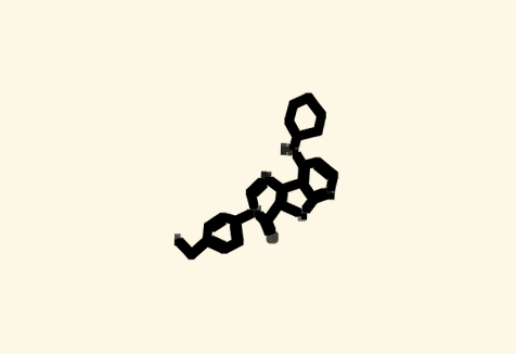 O=c1c2sc3nccc(NC4CCCCC4)c3c2ncn1-c1ccc(CI)cc1